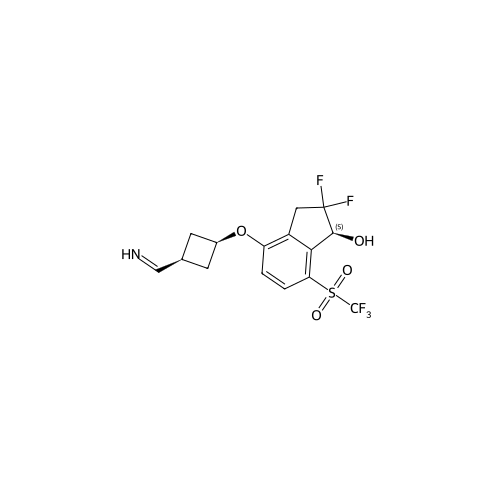 N=C[C@H]1C[C@@H](Oc2ccc(S(=O)(=O)C(F)(F)F)c3c2CC(F)(F)[C@H]3O)C1